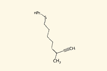 C#CC(C)CCCCCSCC[CH2]